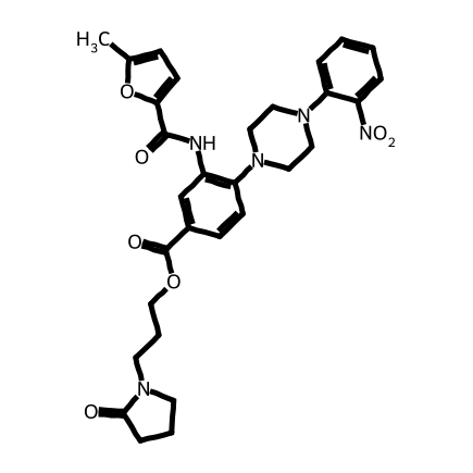 Cc1ccc(C(=O)Nc2cc(C(=O)OCCCN3CCCC3=O)ccc2N2CCN(c3ccccc3[N+](=O)[O-])CC2)o1